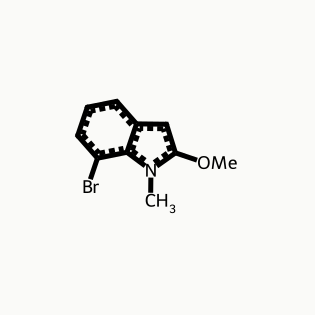 COc1cc2cccc(Br)c2n1C